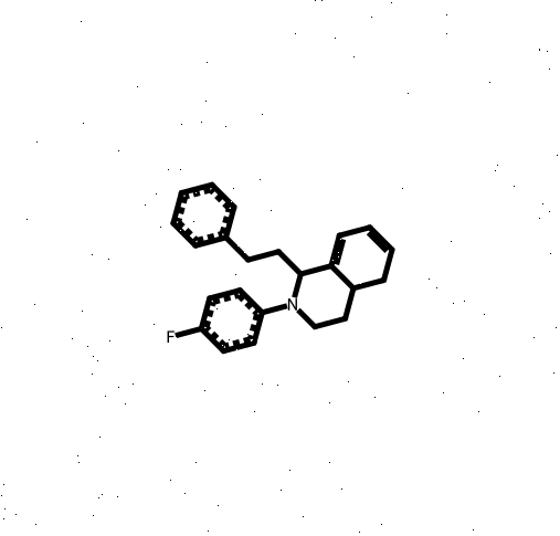 Fc1ccc(N2CCC3CC=CC=C3C2CCc2ccccc2)cc1